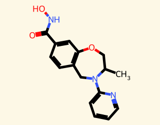 CC1COc2cc(C(=O)NO)ccc2CN1c1ccccn1